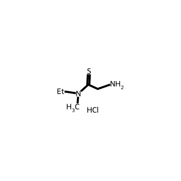 CCN(C)C(=S)CN.Cl